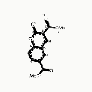 COC(=O)c1ccc2oc(=O)c(C(=O)OC)cc2c1